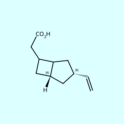 C=C[C@H]1CC2C(CC(=O)O)C[C@H]2C1